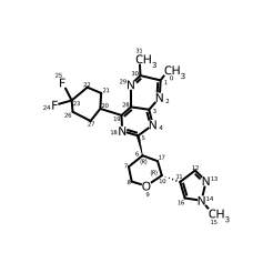 Cc1nc2nc([C@@H]3CCO[C@@H](c4cnn(C)c4)C3)nc(C3CCC(F)(F)CC3)c2nc1C